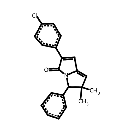 CC1(C)C=C2C=C(c3ccc(Cl)cc3)C(=O)N2C1c1ccccc1